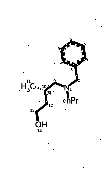 CCCN(Cc1ccccc1)C[C@@H](C)CCO